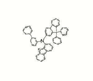 c1ccc(-c2cccc(N(c3ccc4c(c3)C(c3ccccc3)(c3ccccc3)c3ccccc3-4)c3cccc4c3sc3ccccc34)c2)cc1